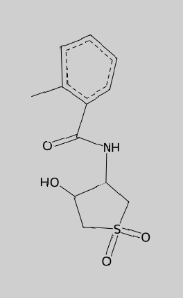 Cc1ccccc1C(=O)NC1CS(=O)(=O)CC1O